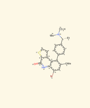 CC[C@H](c1ccc(-c2c(OC)cc(Br)c3[nH]c(=O)c4sccc4c23)cc1)N(C(=O)O)C(C)(C)C